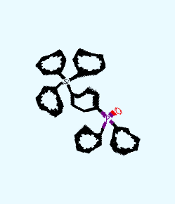 O=P(C1=CC=C([Si](c2ccccc2)(c2ccccc2)c2ccccc2)CC1)(c1ccccc1)c1ccccc1